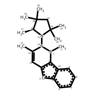 CB1c2c(oc3ccccc23)C=C(C)N1N1[C@@H](C)C(C)(C)CC1(C)C